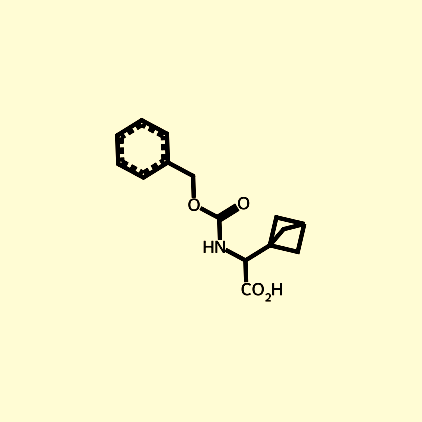 O=C(NC(C(=O)O)C12CC(C1)C2)OCc1ccccc1